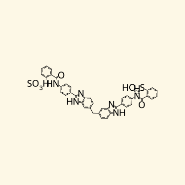 O=C(Nc1ccc(-c2nc3cc(Cc4ccc5nc(-c6ccc(NC(=O)c7ccccc7S(=O)(=O)O)cc6)[nH]c5c4)ccc3[nH]2)cc1)c1ccccc1S(=O)(=O)O